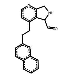 O=CC1NCc2nccc(CCc3ccc4ccccc4n3)c21